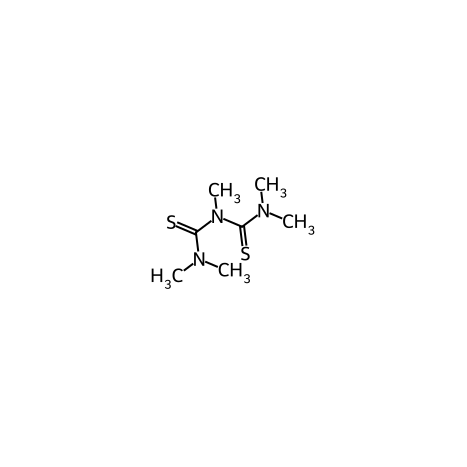 CN(C)C(=S)N(C)C(=S)N(C)C